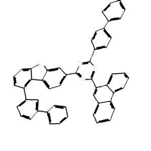 c1ccc(-c2ccc(-c3nc(-c4ccc5c(c4)oc4cccc(-c6cccc(-c7ccccc7)c6)c45)nc(-c4cc5ccccc5c5ccccc45)n3)cc2)cc1